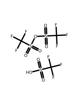 O=S(=O)(O)C(F)(F)F.O=S(=O)(OS(=O)(=O)C(F)(F)F)C(F)(F)F